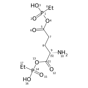 CCP(=O)(O)OC(=O)CC[C@H](N)C(=O)OP(=O)(O)CC